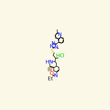 CCC1=NC2=CCC3CC(C(C)CCSc4nnc(-c5cccc6nc(C)ccc56)n4C)NCC(Br)=C3C2O1.Cl